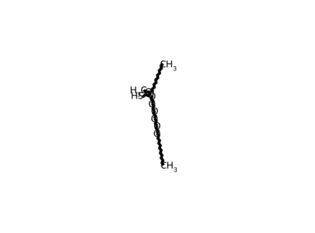 CCCCCCCCCCCCCOCCOCCOCCOCCOCCO[Si](CCCS)(CCCCCCCCCCCCC)OCC